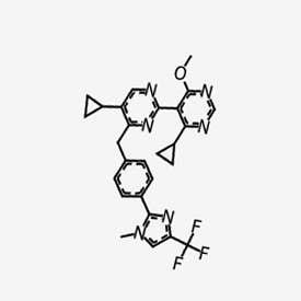 COc1ncnc(C2CC2)c1-c1ncc(C2CC2)c(Cc2ccc(-c3nc(C(F)(F)F)cn3C)cc2)n1